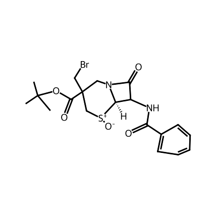 CC(C)(C)OC(=O)C1(CBr)CN2C(=O)C(NC(=O)c3ccccc3)[C@H]2[S+]([O-])C1